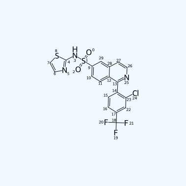 O=S(=O)(Nc1nccs1)c1ccc2c(-c3ccc(C(F)(F)F)cc3Cl)nccc2c1